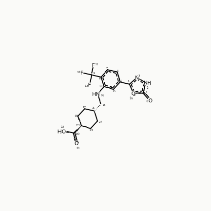 O=c1[nH]nc(-c2ccc(C(F)(F)F)c(NC[C@H]3CC[C@H](C(=O)O)CC3)c2)o1